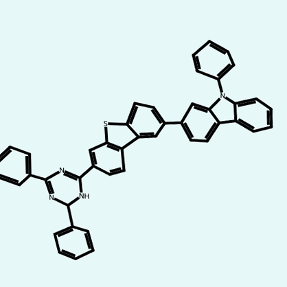 c1ccc(C2=NC(c3ccccc3)NC(c3ccc4c(c3)sc3ccc(-c5ccc6c7ccccc7n(-c7ccccc7)c6c5)cc34)=N2)cc1